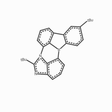 CC(C)(C)c1ccc2c(c1)-c1cccc3c1B2c1cccc2nc(C(C)(C)C)n-3c12